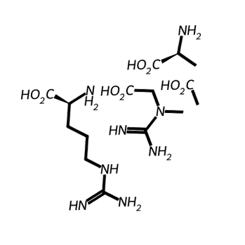 CC(=O)O.CN(CC(=O)O)C(=N)N.C[C@H](N)C(=O)O.N=C(N)NCCC[C@H](N)C(=O)O